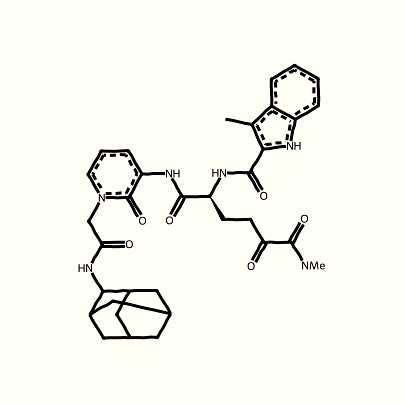 CNC(=O)C(=O)CC[C@H](NC(=O)c1[nH]c2ccccc2c1C)C(=O)Nc1cccn(CC(=O)NC2C3CC4CC(C3)CC2C4)c1=O